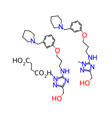 Cn1nc(CO)nc1NCCCOc1cccc(CN2CCCCC2)c1.Cn1nc(CO)nc1NCCCOc1cccc(CN2CCCCC2)c1.O=C(O)CCC(=O)O